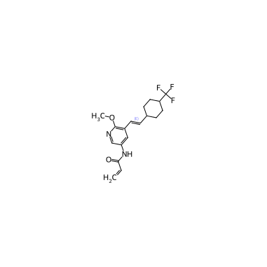 C=CC(=O)Nc1cnc(OC)c(/C=C/C2CCC(C(F)(F)F)CC2)c1